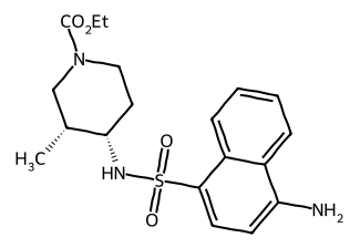 CCOC(=O)N1CC[C@H](NS(=O)(=O)c2ccc(N)c3ccccc23)[C@H](C)C1